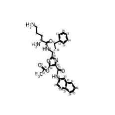 NCCC[C@@H](N)C(=O)N[C@H](CCc1ccccc1)c1nc(C(=O)Nc2cnc3ccccc3c2)c(OC(=O)C(F)(F)F)o1